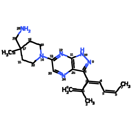 C=C(C)/C(=C\C=C/C)c1n[nH]c2nc(N3CCC(C)(CN)CC3)cnc12